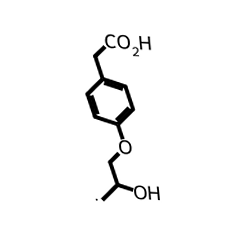 [CH2]C(O)COc1ccc(CC(=O)O)cc1